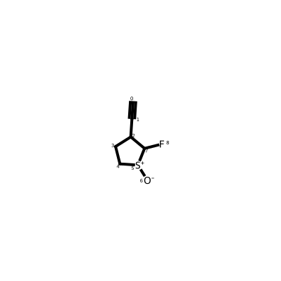 C#CC1CC[S+]([O-])C1F